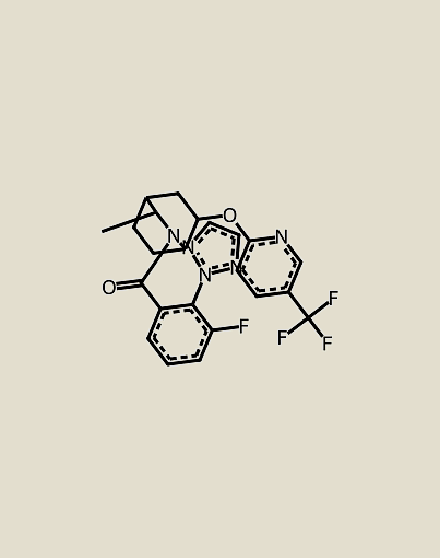 CC1C2CCC(C(Oc3ccc(C(F)(F)F)cn3)C2)N1C(=O)c1cccc(F)c1-n1nccn1